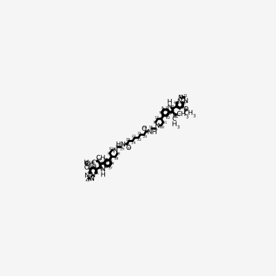 COc1cc(-c2[nH]c3ccc(C4CCN(CCNC(=O)CCCCCCC(=O)NCCN5CCC(c6ccc7[nH]c(-c8cc(OC)c9ncnn9c8)c(C(C)C)c7c6)CC5)CC4)cc3c2C(C)C)cn2ncnc12